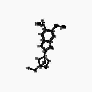 CC(C)Oc1cc2nn(C34COC(CF)(C3)C4)cc2cc1C(=O)O